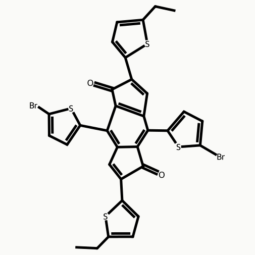 CCc1ccc(-c2cc3c(-c4ccc(Br)s4)c4c(=O)c(-c5ccc(CC)s5)cc4c(-c4ccc(Br)s4)c3c2=O)s1